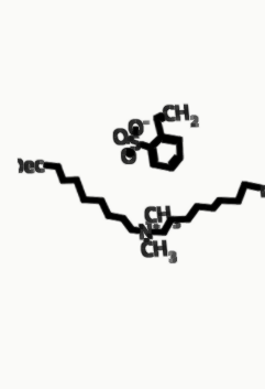 C=Cc1ccccc1S(=O)(=O)[O-].CCCCCCCCCCCCCCCCCC[N+](C)(C)CCCCCCCCCCCCCCCCCC